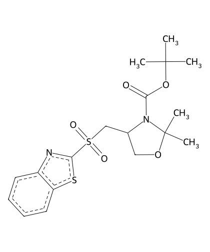 CC(C)(C)OC(=O)N1C(CS(=O)(=O)c2nc3ccccc3s2)COC1(C)C